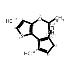 CC(C)Oc1ccsc1C1=[C]([Ti])CC=C1.Cl.Cl